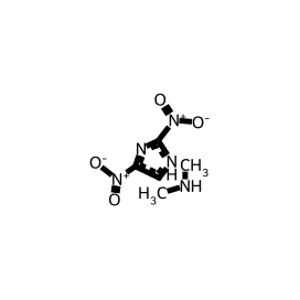 CNC.O=[N+]([O-])c1c[nH]c([N+](=O)[O-])n1